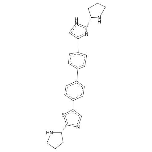 c1cc(-c2c[nH]c([C@@H]3CCCN3)n2)ccc1-c1ccc(-c2cnc([C@@H]3CCCN3)s2)cc1